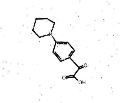 O=C(O)C(=O)c1ccc(N2CCCCC2)cc1